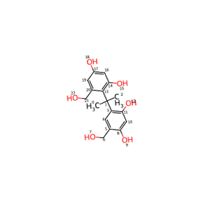 CC(C)(c1cc(CO)c(O)cc1O)c1c(O)cc(O)cc1CO